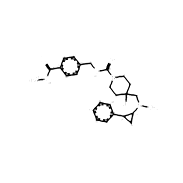 CN(CC1(F)CCN(C(=O)OCc2ccc(C(=O)OC(C)(C)C)cc2)CC1)C1CC1c1ccccc1